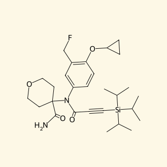 CC(C)[Si](C#CC(=O)N(c1ccc(OC2CC2)c(CF)c1)C1(C(N)=O)CCOCC1)(C(C)C)C(C)C